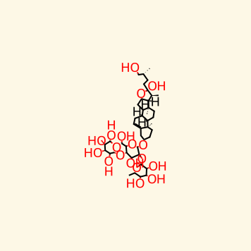 CC1O[C@@H](OC2[C@H](OC3CC[C@@]4(C)C(=CC[C@H]5[C@@H]6CC7OC(O)(CC[C@@H](C)CO)[C@@H](C)[C@@H]7[C@@]6(C)CC[C@@H]54)C3)OC(CO)[C@@H](O[C@@H]3OC(O)[C@H](O)[C@H](O)C3O)[C@@H]2O)C(O)[C@@H](O)[C@H]1O